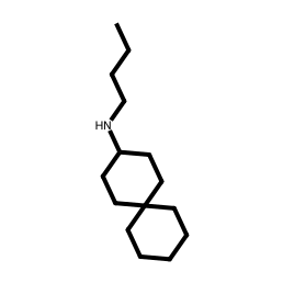 CCCCNC1CCC2(CCCCC2)CC1